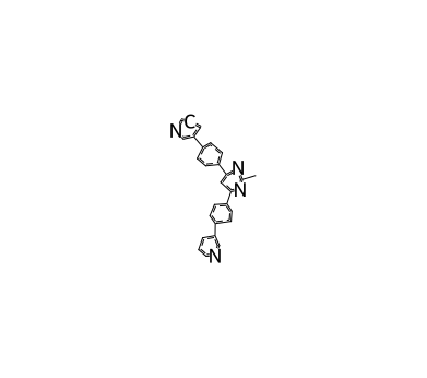 Cc1nc(-c2ccc(-c3cccnc3)cc2)cc(-c2ccc(-c3cccnc3)cc2)n1